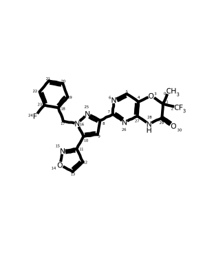 CC1(C(F)(F)F)Oc2cnc(-c3cc(-c4ccon4)n(Cc4ccccc4F)n3)nc2NC1=O